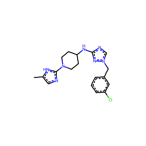 Cc1cnc(N2CCC(Nc3ncn(Cc4cccc(Cl)c4)n3)CC2)[nH]1